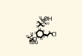 CC(C)(C[C@@H]1C/C(=C\CCl)C[C@@H](O[Si](C)(C)C(C)(C)C)C1)[Si](C)(C)O